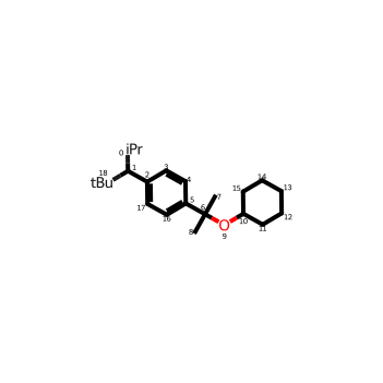 CC(C)C(c1ccc(C(C)(C)OC2CCCCC2)cc1)C(C)(C)C